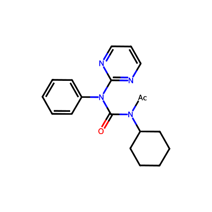 CC(=O)N(C(=O)N(c1ccccc1)c1ncccn1)C1CCCCC1